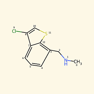 CNCc1cccc2c(Cl)csc12